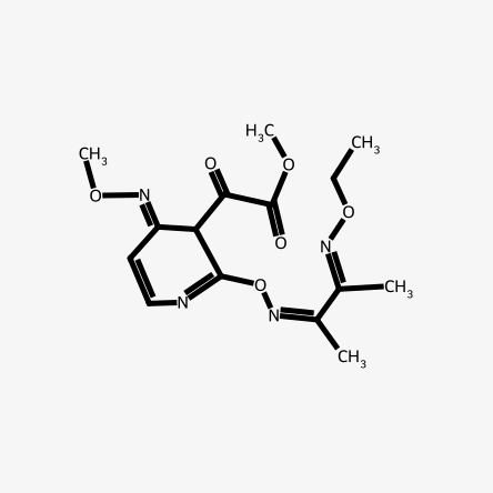 CCON=C(C)C(C)=NOC1=NC=CC(=NOC)C1C(=O)C(=O)OC